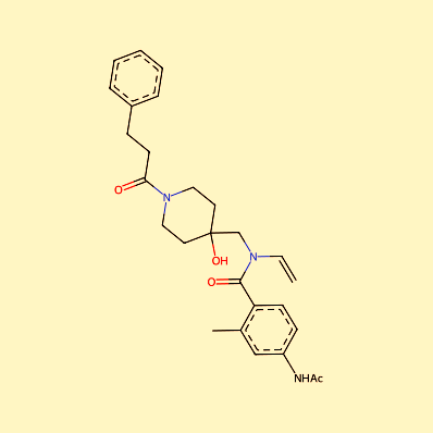 C=CN(CC1(O)CCN(C(=O)CCc2ccccc2)CC1)C(=O)c1ccc(NC(C)=O)cc1C